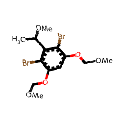 COCOc1cc(OCOC)c(Br)c(C(C)OC)c1Br